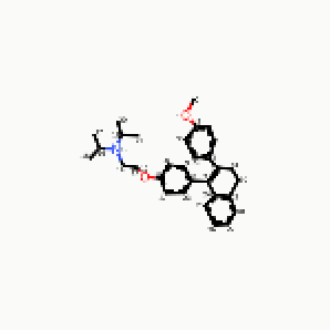 COc1ccc(C2=C(c3ccc(OCCN(C(C)C)C(C)C)cc3)c3ccccc3CC2)cc1